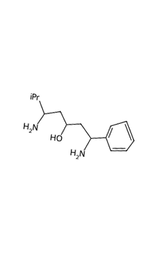 CC(C)C(N)CC(O)CC(N)c1ccccc1